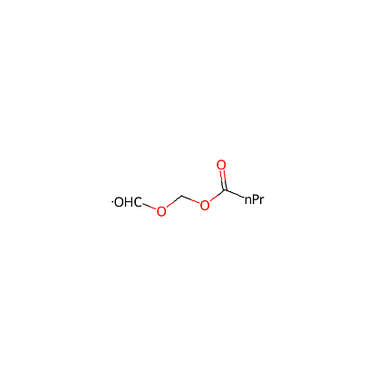 CCCC(=O)OCO[C]=O